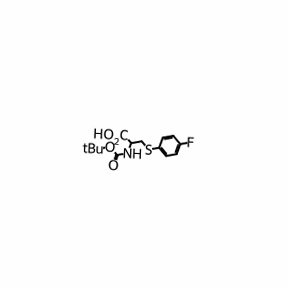 CC(C)(C)OC(=O)NC(CSc1ccc(F)cc1)C(=O)O